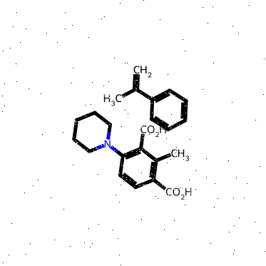 C=C(C)c1ccccc1.Cc1c(C(=O)O)ccc(N2CCCCC2)c1C(=O)O